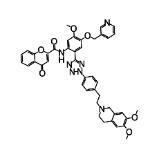 COc1cc2c(cc1OC)CN(CCc1ccc(-n3nnc(-c4cc(OCc5cccnc5)c(OC)cc4NC(=O)c4cc(=O)c5ccccc5o4)n3)cc1)CC2